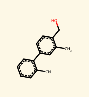 Cc1cc(-c2ccccc2C#N)ccc1CO